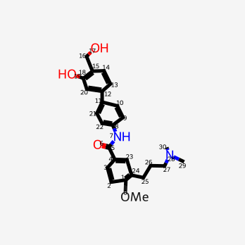 COc1ccc(C(=O)Nc2ccc(-c3ccc(CO)c(O)c3)cc2)cc1CCCN(C)C